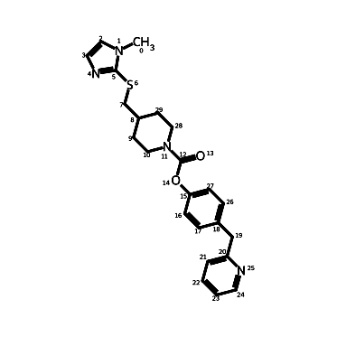 Cn1ccnc1SCC1CCN(C(=O)Oc2ccc(Cc3ccccn3)cc2)CC1